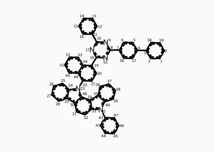 c1ccc(-c2ccc(-c3nc(-c4ccccc4)nc(-c4ccc(-n5c6ccccc6c6ccc7c(c8ccccc8n7-c7ccccc7)c65)c5ccccc45)n3)cc2)cc1